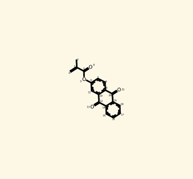 C=C(C)C(=O)Oc1ccc2c(c1)C(=O)c1ccccc1C2=O